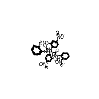 O=C(Nc1ccccc1F)N(c1ccc([N+](=O)[O-])cc1O)N(C(=O)Nc1ccccc1[N+](=O)[O-])c1ccc([N+](=O)[O-])cc1O